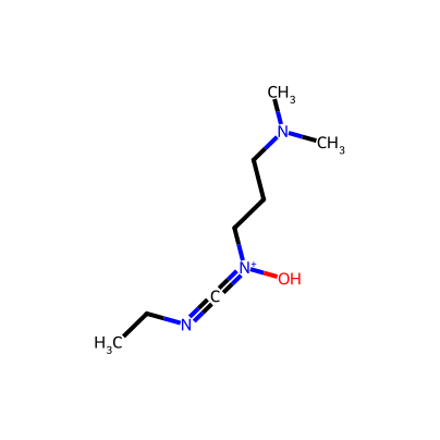 CCN=C=[N+](O)CCCN(C)C